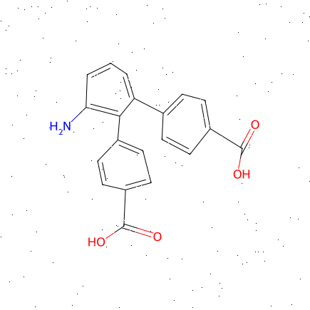 Nc1cccc(-c2ccc(C(=O)O)cc2)c1-c1ccc(C(=O)O)cc1